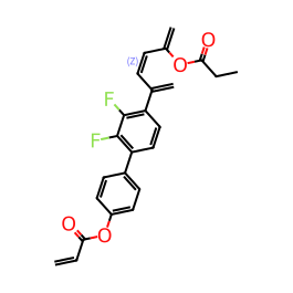 C=CC(=O)Oc1ccc(-c2ccc(C(=C)/C=C\C(=C)OC(=O)CC)c(F)c2F)cc1